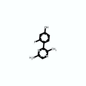 Cc1ncc(N)nc1-c1ccc(O)cc1F